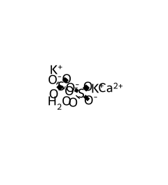 O.O=S(=O)([O-])[O-].O=S(=O)([O-])[O-].[Ca+2].[K+].[K+]